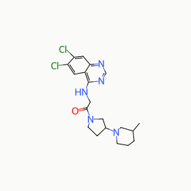 CC1CCCN(C2CCN(C(=O)CNc3ncnc4cc(Cl)c(Cl)cc34)C2)C1